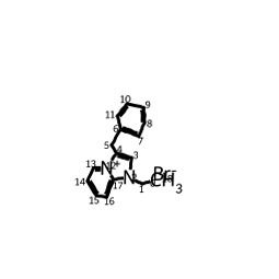 CCn1cc(Cc2ccccc2)[n+]2ccccc12.[Br-]